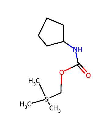 C[Si](C)(C)COC(=O)NC1CCCC1